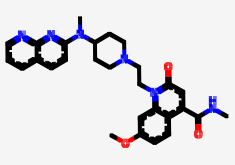 CNC(=O)c1cc(=O)n(CCN2CCC(N(C)c3ccc4cccnc4n3)CC2)c2cc(OC)ccc12